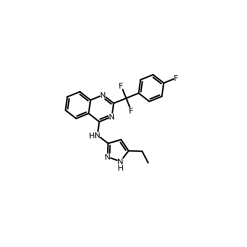 CCc1cc(Nc2nc(C(F)(F)c3ccc(F)cc3)nc3ccccc23)n[nH]1